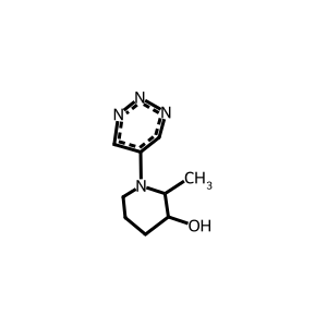 CC1C(O)CCCN1c1cnnnc1